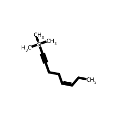 CC/C=C\CCC#C[Si](C)(C)C